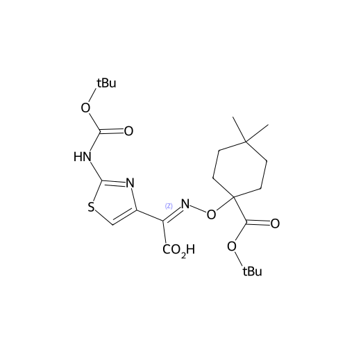 CC1(C)CCC(O/N=C(\C(=O)O)c2csc(NC(=O)OC(C)(C)C)n2)(C(=O)OC(C)(C)C)CC1